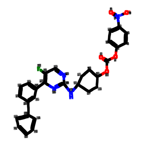 O=C(Oc1ccc([N+](=O)[O-])cc1)OC1CCC(Nc2ncc(F)c(-c3cccc(-c4ccccc4)c3)n2)CC1